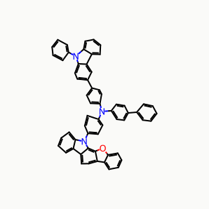 c1ccc(-c2ccc(N(c3ccc(-c4ccc5c(c4)c4ccccc4n5-c4ccccc4)cc3)c3ccc(-n4c5ccccc5c5ccc6c7ccccc7oc6c54)cc3)cc2)cc1